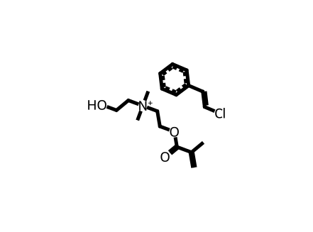 C=C(C)C(=O)OCC[N+](C)(C)CCO.ClC=Cc1ccccc1